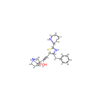 OC1(C#Cc2sc(-c3ccccn3)nc2Cc2ccccc2)CN2CCC1CC2